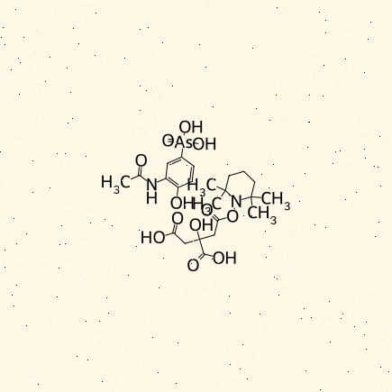 CC(=O)Nc1cc([As](=O)(O)O)ccc1O.CC1(C)CCCC(C)(C)N1OC(=O)CC(O)(CC(=O)O)C(=O)O